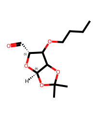 CCCCOC1C2OC(C)(C)O[C@H]2O[C@@H]1C=O